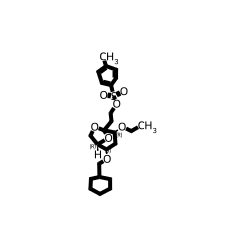 CCO[C@@H]1C[C@H](OCC2CCCCC2)[C@H]2COC1(CCOS(=O)(=O)c1ccc(C)cc1)O2